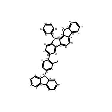 Cc1cc(-n2c3ccccc3c3ccccc32)ccc1-c1ccc2c(c1)c1ccc3c4ccccc4oc3c1n2-c1ccccc1